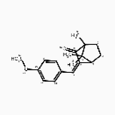 CC12CCC(C(=Cc3ccc(OS(=O)(=O)O)cc3)C1=O)C2(C)C